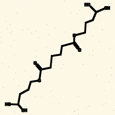 O=C(CCCCC(=O)OCCCC(O)O)OCCCC(O)O